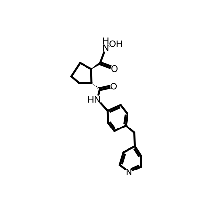 O=C(NO)[C@@H]1CCC[C@H]1C(=O)Nc1ccc(Cc2ccncc2)cc1